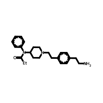 CCC(=O)N(c1ccccc1)C1CCN(CCc2ccc(CCN)cc2)CC1